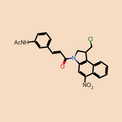 CC(=O)Nc1cccc(C=CC(=O)N2CC(CCl)c3c2cc([N+](=O)[O-])c2ccccc32)c1